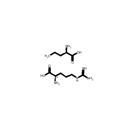 CCCC(N)C(=O)O.N=C(N)NCCC[C@@H](N)C(=O)O